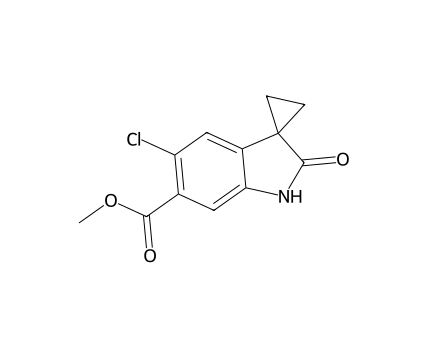 COC(=O)c1cc2c(cc1Cl)C1(CC1)C(=O)N2